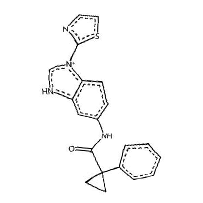 O=C(Nc1ccc2c(c1)[nH]c[n+]2-c1nccs1)C1(c2ccccc2)CC1